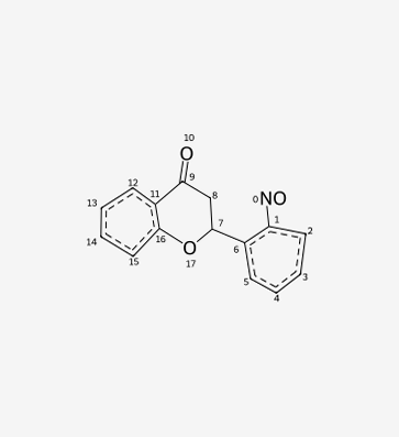 O=Nc1ccccc1C1CC(=O)c2ccccc2O1